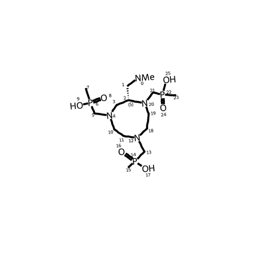 CNC[C@H]1CN(CP(C)(=O)O)CCN(CP(C)(=O)O)CCN1CP(C)(=O)O